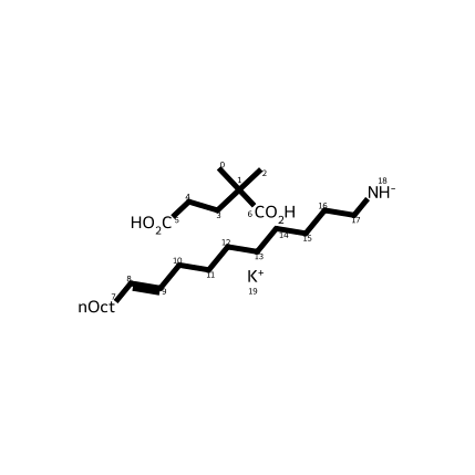 CC(C)(CCC(=O)O)C(=O)O.CCCCCCCCC=CCCCCCCCC[NH-].[K+]